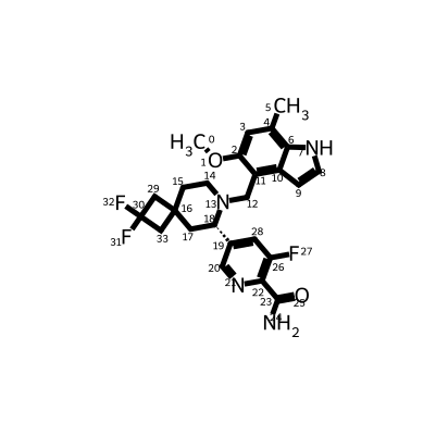 COc1cc(C)c2[nH]ccc2c1CN1CCC2(C[C@H]1c1cnc(C(N)=O)c(F)c1)CC(F)(F)C2